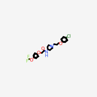 O=C(COc1ccc(OC(F)F)cc1)NC1CCN(CCCOc2ccc(Cl)cc2)CC1